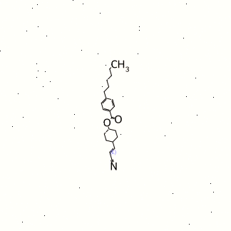 CCCCCCc1ccc(C(=O)OC2CCC(/C=C/C#N)CC2)cc1